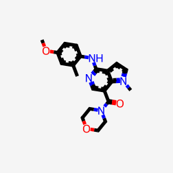 COc1ccc(Nc2ncc(C(=O)N3CCOCC3)c3c2ccn3C)c(C)c1